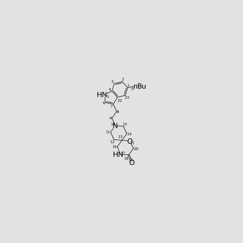 CCCCc1ccc2[nH]cc(CCN3CCC4(CC3)CNC(=O)CO4)c2c1